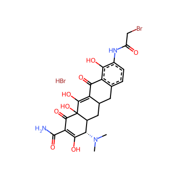 Br.CN(C)[C@@H]1C(O)=C(C(N)=O)C(=O)C2(O)C(O)=C3C(=O)c4c(ccc(NC(=O)CBr)c4O)CC3CC12